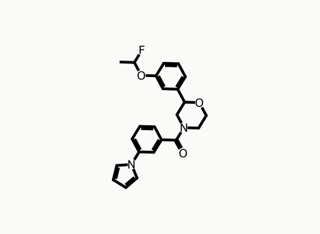 CC(F)Oc1cccc(C2CN(C(=O)c3cccc(-n4cccc4)c3)CCO2)c1